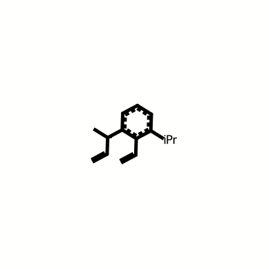 C=C[C](C)c1cccc(C(C)C)c1C=C